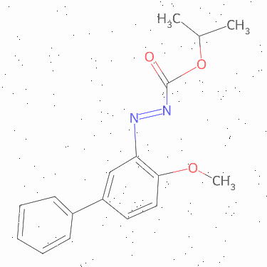 COc1ccc(-c2ccccc2)cc1N=NC(=O)OC(C)C